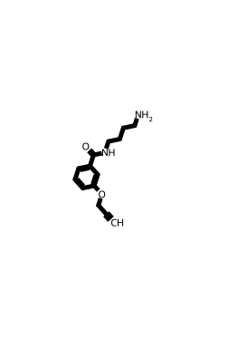 C#CCOc1cccc(C(=O)NCCCCN)c1